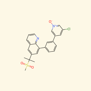 CC(C)(c1cc(-c2cccc(-c3cc(Cl)c[n+]([O-])c3)c2)c2ncccc2c1)S(C)(=O)=O